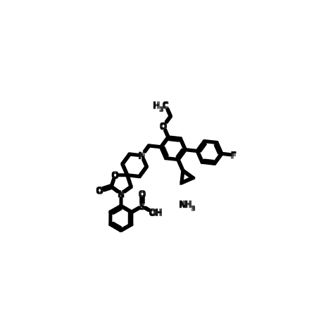 CCOc1cc(-c2ccc(F)cc2)c(C2CC2)cc1CN1CCC2(CC1)CN(c1ccccc1S(=O)O)C(=O)O2.N